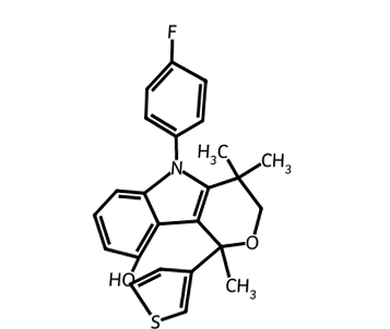 CC1(C)COC(C)(c2ccsc2)c2c1n(-c1ccc(F)cc1)c1cccc(O)c21